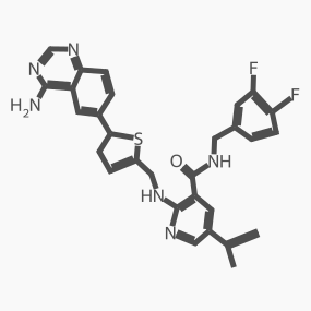 C=C(C)c1cnc(NCC2=CCC(c3ccc4ncnc(N)c4c3)S2)c(C(=O)NCc2ccc(F)c(F)c2)c1